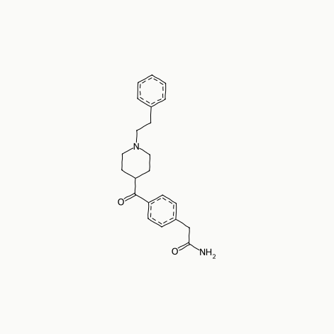 NC(=O)Cc1ccc(C(=O)C2CCN(CCc3ccccc3)CC2)cc1